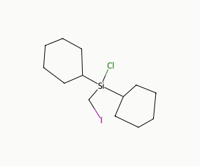 Cl[Si](CI)(C1CCCCC1)C1CCCCC1